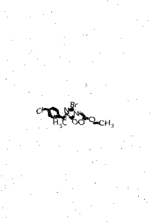 CCOC(=O)Cn1c(Br)nn([C@H](C)c2ccc(Cl)cc2)c1=O